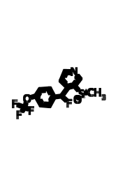 C[S+]([O-])c1cnccc1C(F)c1ccc(OC(F)(F)F)cc1